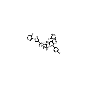 NC(=O)[C@@]12CC1Oc1c2cc(C(O)(CNC(=O)c2cnn(-c3ccccc3F)c2)C(F)(F)F)nc1-c1ccc(F)cc1